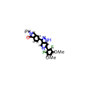 COc1cc(OC)c(F)c(-c2cc3[nH]nc(-c4ccc5c(c4)CN(C(C)C)C5=O)c3cn2)c1F